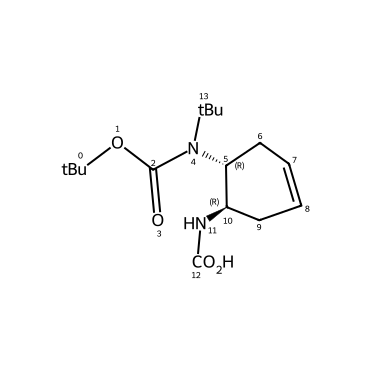 CC(C)(C)OC(=O)N([C@@H]1CC=CC[C@H]1NC(=O)O)C(C)(C)C